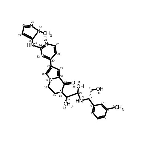 Cc1cccc([C@@H](CO)NC(O)[C@@H](C)N2CCn3cc(-c4ccnc(Nc5ccnn5C)n4)cc3C2=O)c1